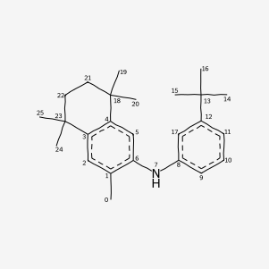 Cc1cc2c(cc1Nc1cccc(C(C)(C)C)c1)C(C)(C)CCC2(C)C